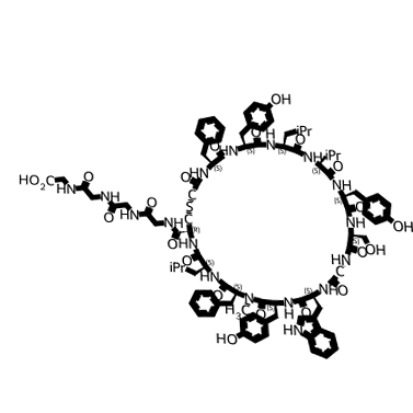 CC(C)C[C@@H]1NC(=O)[C@H](Cc2ccc(O)cc2)NC(=O)[C@H](Cc2ccccc2)NC(=O)CSC[C@@H](C(=O)NCC(=O)NCC(=O)NCC(=O)NCC(=O)O)NC(=O)[C@H](CC(C)C)NC(=O)[C@H](Cc2ccccc2)N(C)C(=O)[C@H](Cc2ccc(O)cc2)NC(=O)[C@H](Cc2c[nH]c3ccccc23)NC(=O)CNC(=O)[C@H](CO)NC(=O)[C@H](Cc2ccc(O)cc2)NC(=O)[C@H](C(C)C)NC1=O